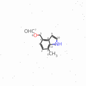 Cc1ccc(COC=O)c2cc[nH]c12